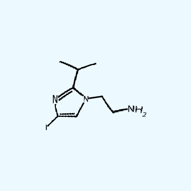 CC(C)c1nc(I)cn1CCN